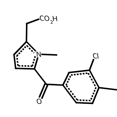 Cc1ccc(C(=O)c2ccc(CC(=O)O)n2C)cc1Cl